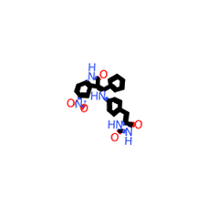 O=C1NC(=O)C(=Cc2ccc(NC(=C3C(=O)Nc4ccc([N+](=O)[O-])cc43)c3ccccc3)cc2)N1